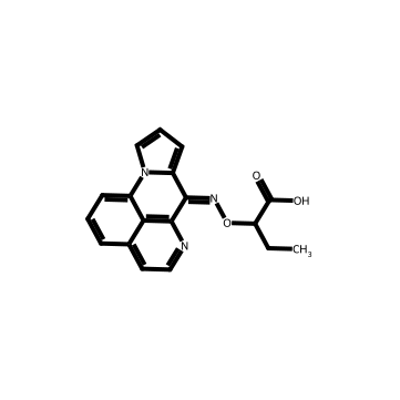 CCC(ON=c1c2nccc3cccc(c32)n2cccc12)C(=O)O